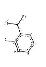 CCC(CC)c1cccnc1C